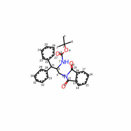 CC(C)(C)OC(=O)NC(CN1C(=O)c2ccccc2C1=O)C(c1ccccc1)c1ccccc1